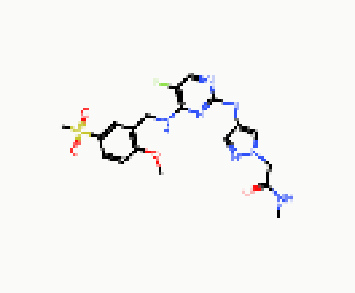 CNC(=O)Cn1cc(Nc2ncc(F)c(NCc3cc(S(C)(=O)=O)ccc3OC)n2)cn1